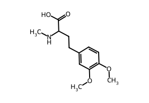 CNC(CCc1ccc(OC)c(OC)c1)C(=O)O